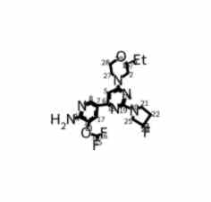 CC[C@H]1CN(c2cc(-c3cnc(N)c(OC(F)F)c3)nc(N3CC[C@H](F)C3)n2)CCO1